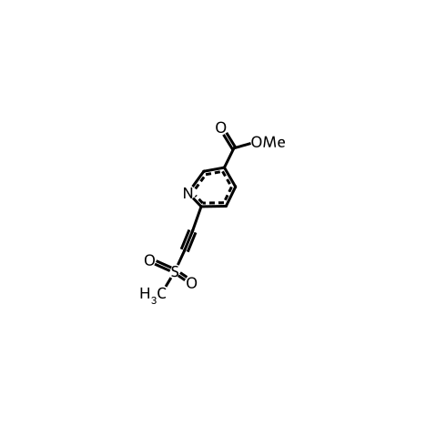 COC(=O)c1ccc(C#CS(C)(=O)=O)nc1